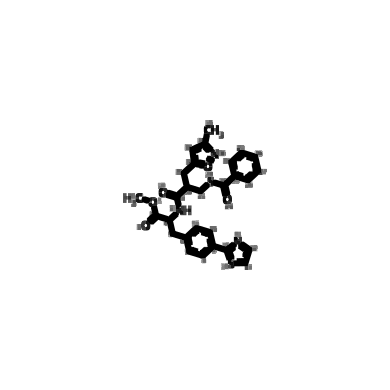 COC(=O)C(Cc1ccc(-c2nccs2)cc1)NC(=O)C(CSC(=O)c1ccccc1)Cc1cc(C)no1